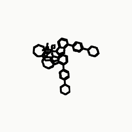 C[SiH](C)[Zr]([Cl])([Cl])([CH]1C(CC2CCCCCC2)=Cc2c(-c3ccc(C4CCCCC4)cc3)cccc21)[CH]1C(CC2CCCCCC2)=Cc2c(-c3ccc(C4CCCCC4)cc3)cccc21